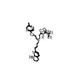 CCN(CC)C(=O)N[C@@H](CCN(CCCCc1ccc2c(n1)NCCC2)CCOc1cnc(C)cn1)C(=O)O